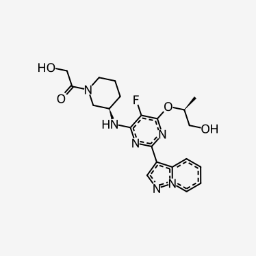 C[C@@H](CO)Oc1nc(-c2cnn3ccccc23)nc(N[C@@H]2CCCN(C(=O)CO)C2)c1F